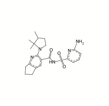 CC1CCN(c2nc3c(cc2C(=O)NS(=O)(=O)c2cccc(N)n2)CCC3)C1(C)C